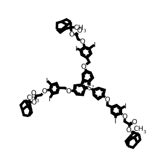 CC1(OC(=O)COc2c(I)cc(COc3ccc(-[s+]4c5ccc(OCc6cc(I)c(OCC(=O)OC7(C)C8CC9CC(C8)CC7C9)c(I)c6)cc5c5cc(OCc6cc(I)c(OCC(=O)OC7(C)C8CC9CC(C8)CC7C9)c(I)c6)ccc54)cc3)cc2I)C2CC3CC(C2)CC1C3